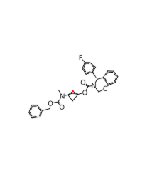 CN(C(=O)OCc1ccccc1)C12CC(OC(=O)N3CCc4ccccc4[C@@H]3c3ccc(F)cc3)(C1)C2